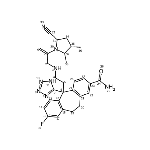 C=C(CNCCC1(c2nnn[nH]2)c2ccc(F)cc2CCc2cc(C(N)=O)ccc21)N1C(C#N)C[C@H](C)C1C